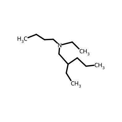 CCCCN(CC)CC(CC)CCC